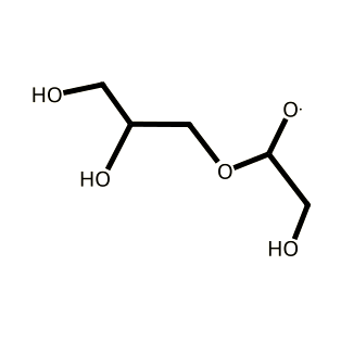 [O]C(CO)OCC(O)CO